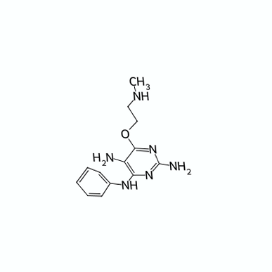 CNCCOc1nc(N)nc(Nc2ccccc2)c1N